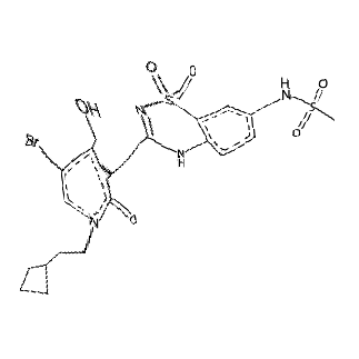 CS(=O)(=O)Nc1ccc2c(c1)S(=O)(=O)N=C(c1c(O)c(Br)cn(CC3CCC3)c1=O)N2